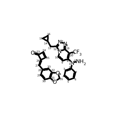 NN(c1ccccc1)c1ccn2c(CC3CC3)nnc2c1C(F)(F)F.O=C1C=CC1=Cc1ccc2c(c1)OCO2